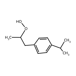 CC(Cc1ccc(C(C)C)cc1)OO